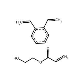 C=CC(=O)OCCO.C=Cc1ccccc1C=C